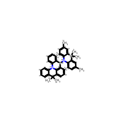 Cc1cc(C)c2c(c1)[Si](C)(C)c1cc(C)cc(C)c1N2B1c2ccccc2N2c3ccccc3C(C)(C)c3cccc1c32